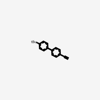 C#Cc1ccc(-c2ccc(C(C)(C)C)cc2)cc1